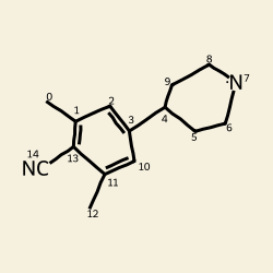 Cc1cc(C2CC[N]CC2)cc(C)c1C#N